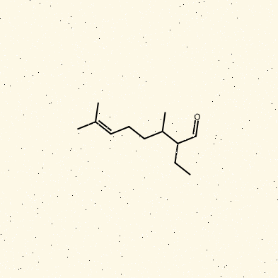 CCC(C=O)C(C)CCC=C(C)C